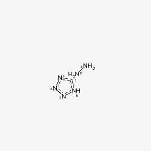 NN.c1nnn[nH]1